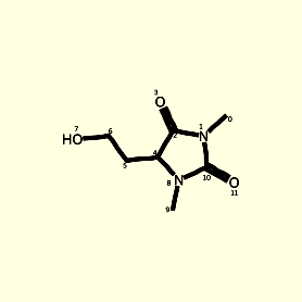 CN1C(=O)C(CCO)N(C)C1=O